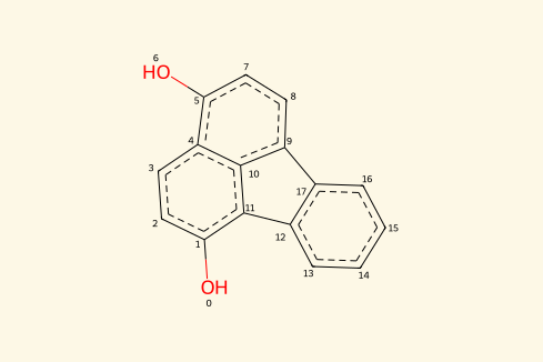 Oc1ccc2c(O)ccc3c2c1-c1ccccc1-3